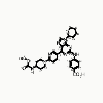 CC(C)(C)OC(=O)NC1CCN(c2ccc(-c3nc(Nc4ccc(C(=O)O)cc4)nc4c3ncn4C3CCCCO3)cn2)CC1